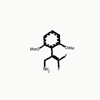 COc1cccc(OC)c1C(CN)=C(F)F